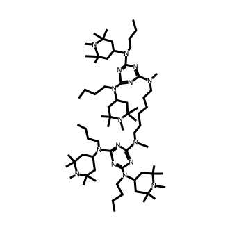 CCCCN(c1nc(N(C)CCCCCCN(C)c2nc(N(CCCC)C3CC(C)(C)N(C)C(C)(C)C3)nc(N(CCCC)C3CC(C)(C)N(C)C(C)(C)C3)n2)nc(N(CCCC)C2CC(C)(C)N(C)C(C)(C)C2)n1)C1CC(C)(C)N(C)C(C)(C)C1